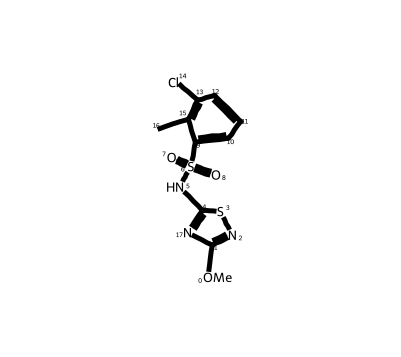 COc1nsc(NS(=O)(=O)c2cccc(Cl)c2C)n1